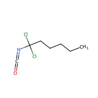 CCCCCC(Cl)(Cl)N=C=O